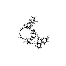 CC[C@@H]1C[C@@H](C)CCC=C[C@@H]2C[C@@]2(C(=O)NS(=O)(=O)C2(C)CC2)NC(=O)[C@@H]2C[C@@H](Oc3nc4nccn4c4ccc(Cl)cc34)CN2C(=O)[C@H]1NC(=O)O